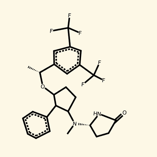 C[C@@H](OC1CCC(N(C)[C@H]2CCC(=O)N2)C1c1ccccc1)c1cc(C(F)(F)F)cc(C(F)(F)F)c1